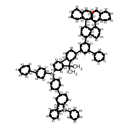 CC1(C)c2cc(-c3cc(-c4ccccc4)cc(-c4ccc(-c5cccc6ccccc56)c5c(-c6cccc7ccccc67)cccc45)c3)ccc2-c2ccc(N(c3ccc(-c4ccccc4)cc3)c3ccc(-c4ccc5c(c4)c4ccccc4n5-c4ccccc4)cc3)cc21